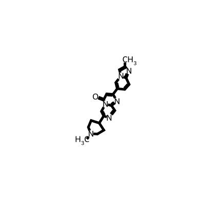 Cc1cn2cc(-c3cc(=O)n4cc(C5CCN(C)CC5)ncc4n3)ccc2n1